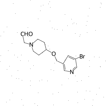 O=CCN1CCC(OCc2cncc(Br)c2)CC1